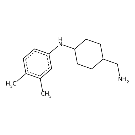 Cc1ccc(NC2CCC(CN)CC2)cc1C